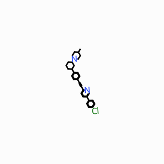 CC1CCN(C2CCCC(c3ccc(C#Cc4ccc(-c5ccc(Cl)cc5)cn4)cc3)C2)CC1